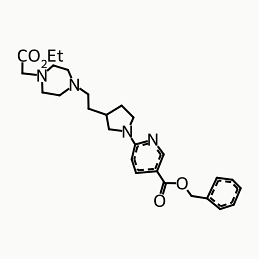 CCOC(=O)CN1CCN(CCC2CCN(c3ccc(C(=O)OCc4ccccc4)cn3)C2)CC1